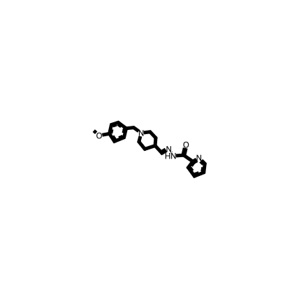 COc1ccc(CN2CCC(/C=N/NC(=O)c3ccccn3)CC2)cc1